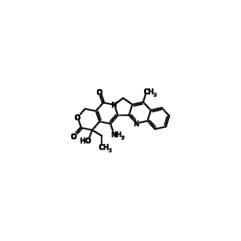 CCC1(O)C(=O)OCc2c1c(N)c1n(c2=O)Cc2c-1nc1ccccc1c2C